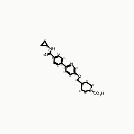 O=C(NC1CC1)c1ccc(-c2ccc(OCC3CCN(C(=O)O)CC3)cn2)cc1